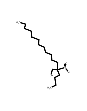 CCCCCCCCCCCCC(CO)(CCCC)[N+](=O)[O-]